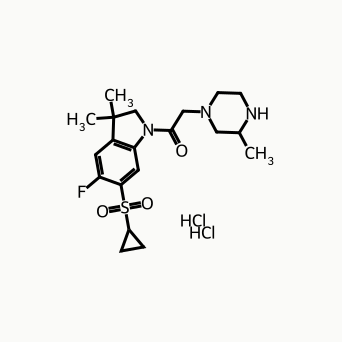 CC1CN(CC(=O)N2CC(C)(C)c3cc(F)c(S(=O)(=O)C4CC4)cc32)CCN1.Cl.Cl